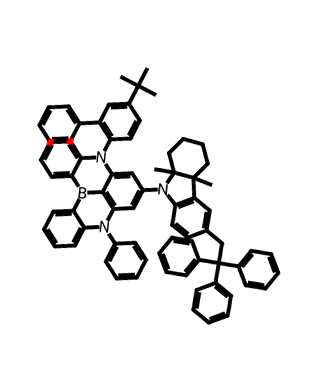 CC(C)(C)c1ccc(N2c3ccccc3B3c4ccccc4N(c4ccccc4)c4cc(N5c6ccc(CC(c7ccccc7)(c7ccccc7)c7ccccc7)cc6C6(C)CCCCC56C)cc2c43)c(-c2ccccc2)c1